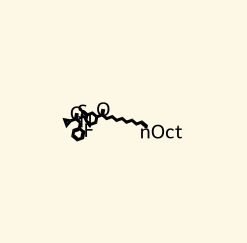 CCCCCCCC/C=C\CCCCCCCC(=O)C1CCN(C(C(=O)C2CC2)c2ccccc2F)C(=S)C1